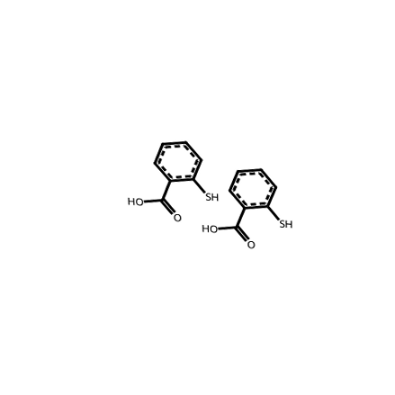 O=C(O)c1ccccc1S.O=C(O)c1ccccc1S